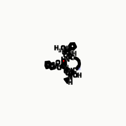 CNC(=O)[C@@H](NC(=O)[C@@H]1CCCCC/C=C\CC(C(O)C(=O)NC2CC2)NC(=O)N2C[C@@H](OC(=O)N3CCc4ccccc4C3)C[C@@H]2C(=O)N1)C1CCCCC1